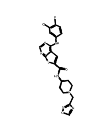 O=C(NC1CCN(Cc2ncon2)CC1)c1cc2c(Nc3ccc(F)c(Cl)c3)ncnc2s1